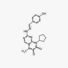 Cn1c(=O)c(=O)n(C2CCCC2)c2nc(N/N=C/c3ccc(O)cc3)ncc21